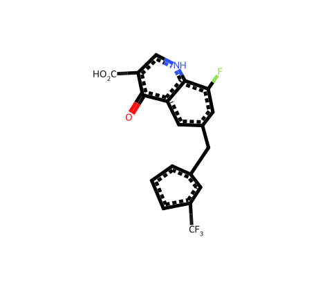 O=C(O)c1c[nH]c2c(F)cc(Cc3cccc(C(F)(F)F)c3)cc2c1=O